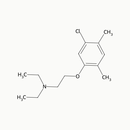 CCN(CC)CCOc1cc(Cl)c(C)cc1C